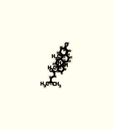 CC(C)CCC(=O)[C@H]1CC[C@H]2[C@@H]3CCC4=CC(=O)CC[C@]4(C)C3CC[C@]12C